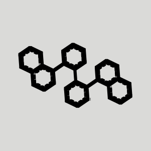 [c]1cccc(-c2ccccc2-c2cccc3ccccc23)c1-c1cccc2ccccc12